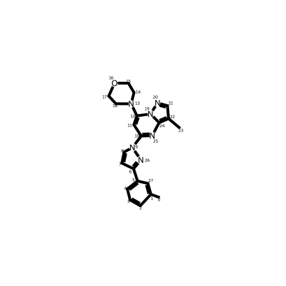 Cc1cccc(-c2ccn(-c3cc(N4CCOCC4)n4ncc(C)c4n3)n2)c1